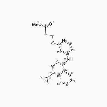 COC(=O)CCSc1nccc(Nc2ccc(C3CC3)c3ccccc23)n1